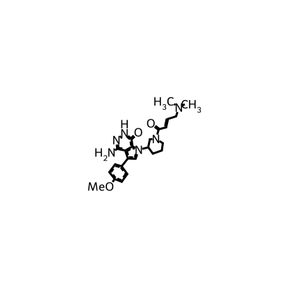 COc1ccc(-c2cn(C3CCCN(C(=O)C=CCN(C)C)C3)c3c(=O)[nH]nc(N)c23)cc1